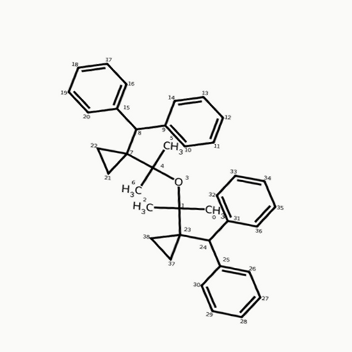 CC(C)(OC(C)(C)C1(C(c2ccccc2)c2ccccc2)CC1)C1(C(c2ccccc2)c2ccccc2)CC1